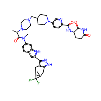 CC(C(=O)N(C)c1ccc2cc(-c3n[nH]c4c3CC3C(F)(F)C3(C)C4)[nH]c2c1)N1CCN(CC2CCN(c3ccc(C(=O)NC4CCC(=O)NC4=O)nc3)CC2)CC1